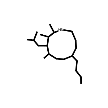 CCCCC1CCCNC(C)C(C)C(CC(C)C)C(C)CC1